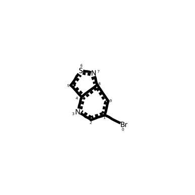 Brc1cnc2csnc2c1